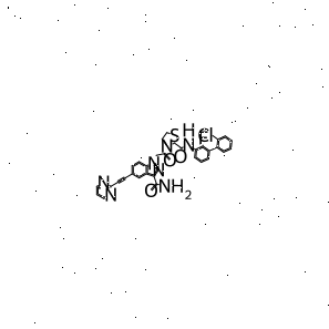 NC(=O)c1nn(CC(=O)N2CCSC2C(=O)Nc2cccc(-c3ccccc3Cl)c2F)c2ccc(C#Cc3ncccn3)cc12